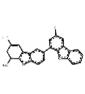 CC1=Cc2c(oc3ccc(-c4cc(C)cc5c4oc4ccccc45)cc23)C(C)C1